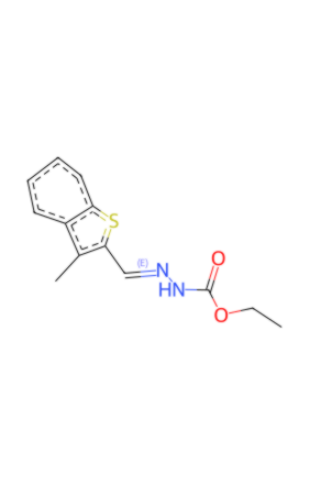 CCOC(=O)N/N=C/c1sc2ccccc2c1C